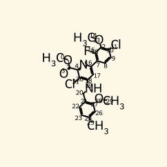 COC(=O)c1nc(-c2ccc(Cl)c(OC)c2F)cc(NCc2ccc(C)cc2OC)c1Cl